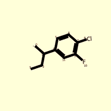 [CH2]C(CC)c1ccc(Cl)c(F)c1